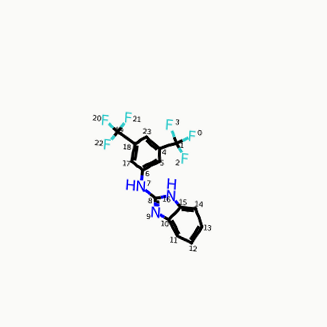 FC(F)(F)c1cc(Nc2nc3ccccc3[nH]2)cc(C(F)(F)F)c1